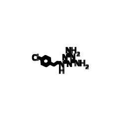 Nc1nc(N)nc(NCCc2ccc(Cl)cc2)n1